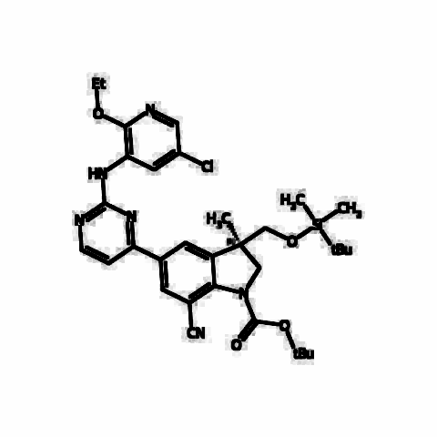 CCOc1ncc(Cl)cc1Nc1nccc(-c2cc(C#N)c3c(c2)[C@@](C)(CO[Si](C)(C)C(C)(C)C)CN3C(=O)OC(C)(C)C)n1